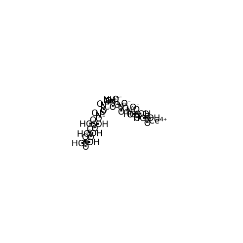 O=S(=O)(O)O.O=S(=O)(O)O.O=S(=O)(O)O.O=S(=O)(O)O.O=S(=O)(O)O.O=[N+]([O-])[O-].O=[N+]([O-])[O-].O=[N+]([O-])[O-].O=[N+]([O-])[O-].O=[N+]([O-])[O-].[Ce+4].[NH4+]